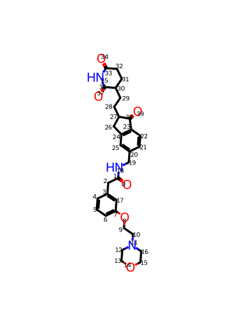 O=C(Cc1cccc(OCCN2CCOCC2)c1)NCc1ccc2c(c1)CC(CCC1CCC(=O)NC1=O)C2=O